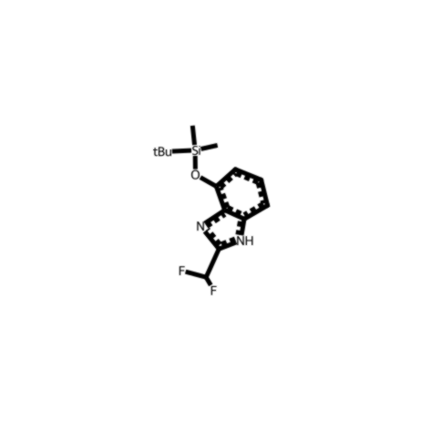 CC(C)(C)[Si](C)(C)Oc1cccc2[nH]c(C(F)F)nc12